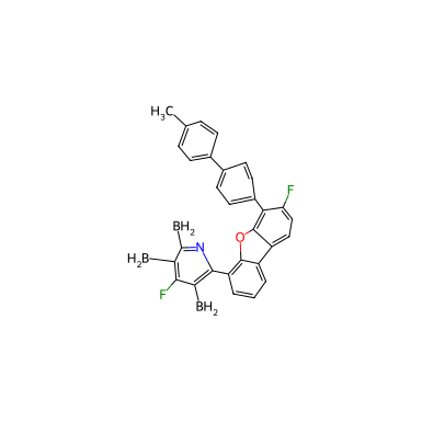 Bc1nc(-c2cccc3c2oc2c(-c4ccc(-c5ccc(C)cc5)cc4)c(F)ccc23)c(B)c(F)c1B